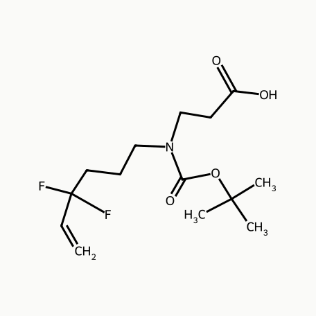 C=CC(F)(F)CCCN(CCC(=O)O)C(=O)OC(C)(C)C